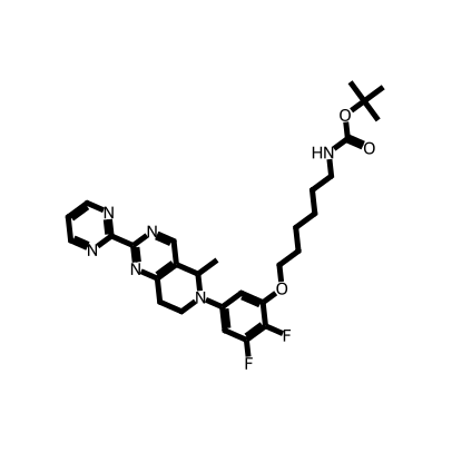 CC1c2cnc(-c3ncccn3)nc2CCN1c1cc(F)c(F)c(OCCCCCCNC(=O)OC(C)(C)C)c1